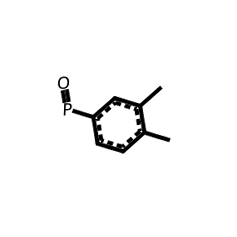 Cc1ccc(P=O)cc1C